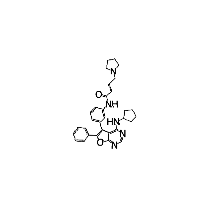 O=C(/C=C/CN1CCCC1)Nc1cccc(-c2c(-c3ccccc3)oc3ncnc(NC4CCCC4)c23)c1